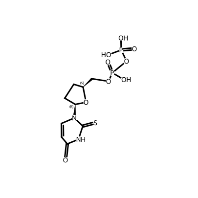 O=c1ccn([C@H]2CC[C@@H](COP(=O)(O)OP(=O)(O)O)O2)c(=S)[nH]1